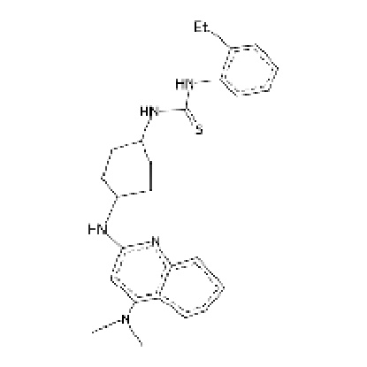 CCc1ccccc1NC(=S)NC1CCC(Nc2cc(N(C)C)c3ccccc3n2)CC1